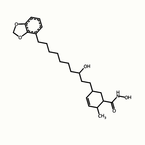 CC1C=CC(CCC(O)CCCCCCCc2cccc3c2OCO3)CC1C(=O)NO